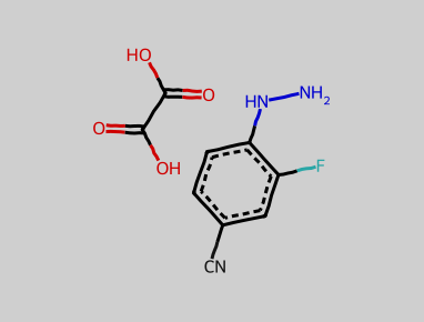 N#Cc1ccc(NN)c(F)c1.O=C(O)C(=O)O